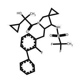 CC(O)(C(=O)N1CC2(CC2)C(NS(=O)(=O)C(C)(F)F)C1Cc1cccc(-c2ccccc2)c1F)C1CC1